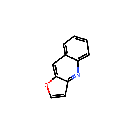 c1ccc2nc3ccoc3cc2c1